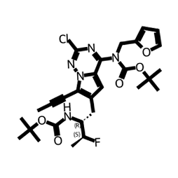 CC#Cc1c(C[C@@H](NC(=O)OC(C)(C)C)[C@H](C)F)cc2c(N(Cc3ccco3)C(=O)OC(C)(C)C)nc(Cl)nn12